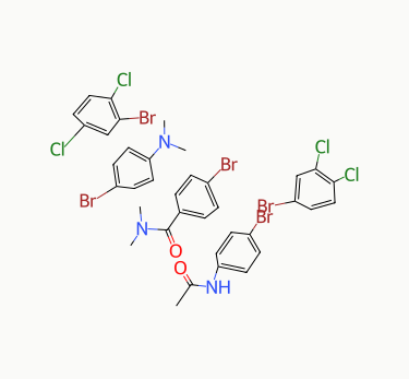 CC(=O)Nc1ccc(Br)cc1.CN(C)C(=O)c1ccc(Br)cc1.CN(C)c1ccc(Br)cc1.Clc1ccc(Br)cc1Cl.Clc1ccc(Cl)c(Br)c1